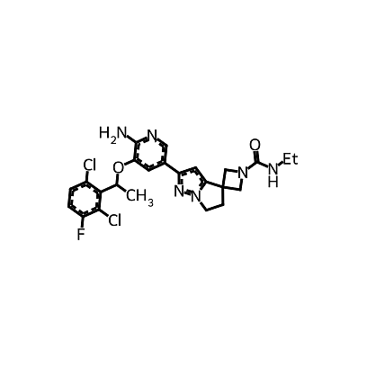 CCNC(=O)N1CC2(CCn3nc(-c4cnc(N)c(OC(C)c5c(Cl)ccc(F)c5Cl)c4)cc32)C1